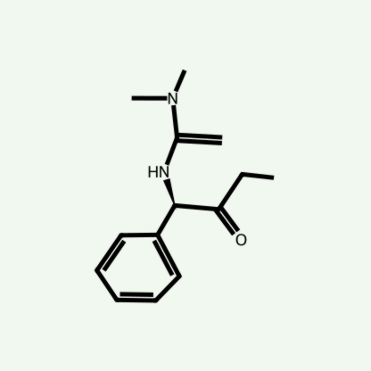 C=C(N[C@@H](C(=O)CC)c1ccccc1)N(C)C